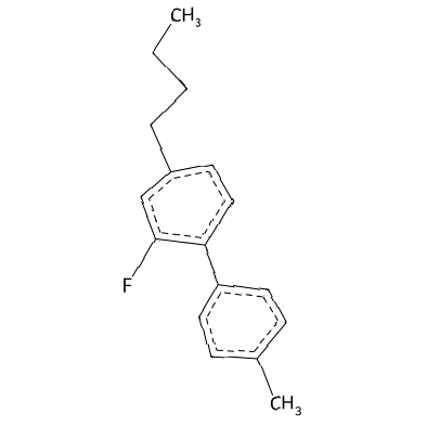 CCCCc1ccc(-c2ccc(C)cc2)c(F)c1